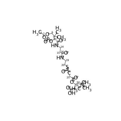 CCOP1(=O)OCC(C)(C)[C@H](C(=O)NCCC(=O)NCCSC(=O)CCC(=O)O[C@H](CC(=O)O)C[N+](C)(C)C)O1